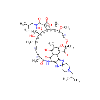 CO[C@H]1/C=C/O[C@@]2(C)Oc3c(C)c(O)c4c(c3C2=O)C2=NC3(CCN(CC(C)C)CC3)NC2=C(NC(=O)/C(C)=C\C=C\[C@H](C)[C@H](O)[C@@H](C)[C@@H](O)[C@@H](C)[C@H](OC(=O)CC(=O)NCC(C)C)[C@@H]1C)C4=O